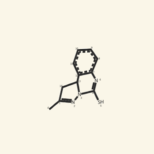 CC1=NN2C(S)=Nc3ccccc3C2C1